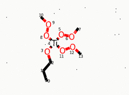 CCC[O][Ti]([O]OC)([O]OC)[O]OC